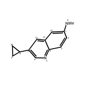 CNc1ccc2ncc(C3CC3)cc2c1